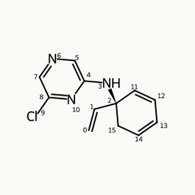 C=C[C@]1(Nc2cncc(Cl)n2)C=CC=CC1